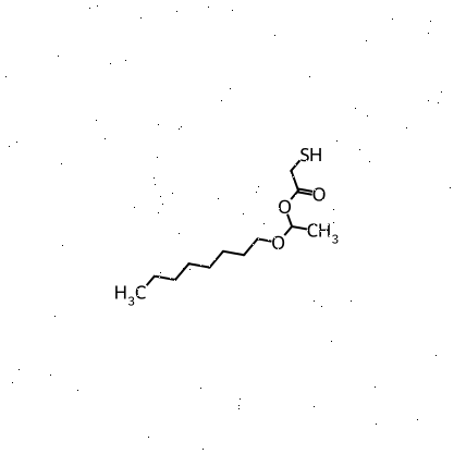 CCCCCCCCOC(C)OC(=O)CS